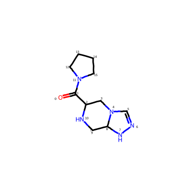 O=C(C1CN2C=NNC2[C]N1)N1CCCC1